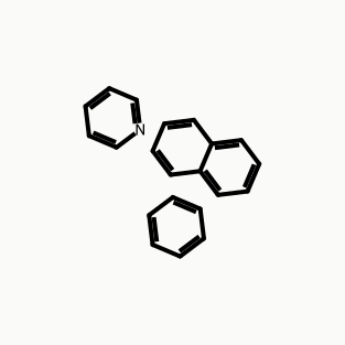 c1ccc2ccccc2c1.c1ccccc1.c1ccncc1